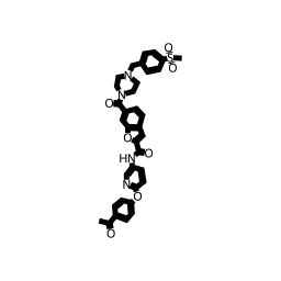 CC(=O)c1ccc(Oc2ccc(NC(=O)c3cc4ccc(C(=O)N5CCN(Cc6ccc(S(C)(=O)=O)cc6)CC5)cc4o3)cn2)cc1